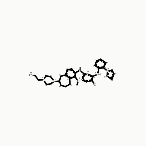 COc1c(Nc2ncc(Cl)c(Nc3ccccc3-n3cccn3)n2)ccc2c1CCCC(N1CCN(CCO)CC1)C2